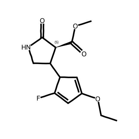 CCOC1=CC(C2CNC(=O)[C@H]2C(=O)OC)C(F)=C1